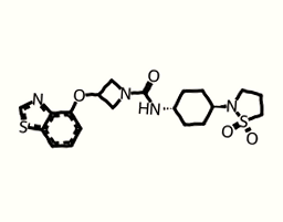 O=C(N[C@H]1CC[C@H](N2CCCS2(=O)=O)CC1)N1CC(Oc2cccc3scnc23)C1